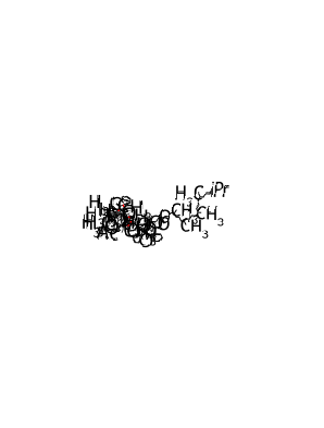 C=C(C)C[C@@]12CC[C@@H]1C[C@H](C)[C@@]1(C)C(=O)[C@H](CC(C)=O)C3=C(C)C(CC(=O)C(OC(=O)COCC(=O)OCCC(C)CCCC(C)CCCCC(C)CCCC(C)CCCC(C)C)[C@@H](CC(=O)c4ccccc4)c4ccccc4)C[C@@](C)([C@@H](CC(=O)c4ccccc4)[C@]21C)[C@H]3C